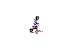 COP(=O)(/C=C/[C@H]1O[C@@H](n2cnc3c(NC(=O)c4ccccc4)ncnc32)[C@H](F)[C@@H]1OC(=O)c1ccccc1)OC